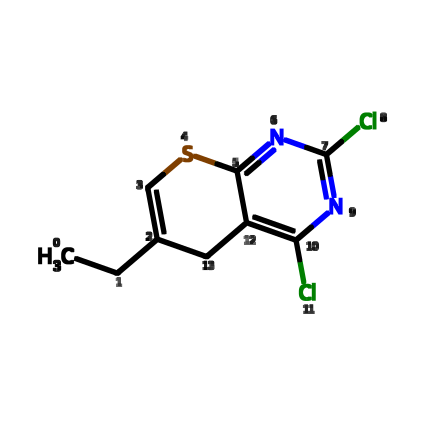 CCC1=CSc2nc(Cl)nc(Cl)c2C1